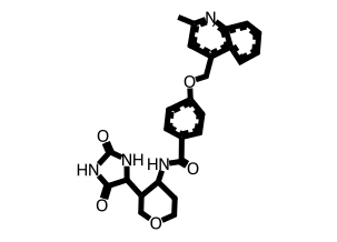 Cc1cc(COc2ccc(C(=O)NC3CCOCC3C3NC(=O)NC3=O)cc2)c2ccccc2n1